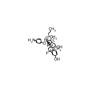 CCC[C@@H]1O[C@@H]2C[C@H]3[C@@H]4C[C@H](F)C5=CC(O)C=C[C@]5(C)[C@@]4(F)[C@@H](O)C[C@]3(C)[C@]2(C(=O)COc2ccc(N)cc2)O1